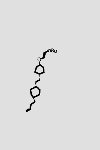 C=CCC[C@H]1CC[C@H](CC[C@H]2CC[C@H](OC=CCCCC)CC2)CC1